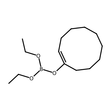 CCOB(OCC)OC1=CCCCCCCCC1